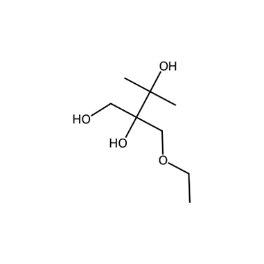 CCOCC(O)(CO)C(C)(C)O